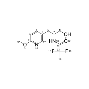 COc1ccc([CH]C(CO)NC(=O)C(C)(F)F)cn1